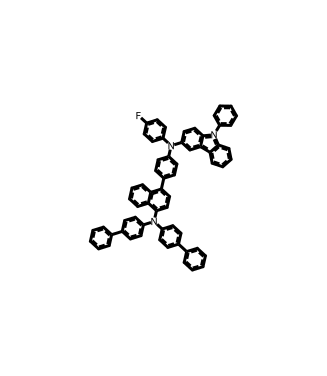 Fc1ccc(N(c2ccc(-c3ccc(N(c4ccc(-c5ccccc5)cc4)c4ccc(-c5ccccc5)cc4)c4ccccc34)cc2)c2ccc3c(c2)c2ccccc2n3-c2ccccc2)cc1